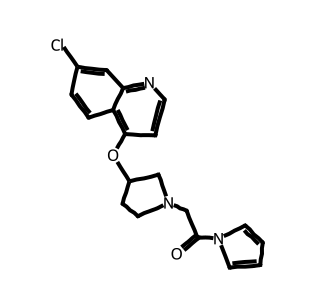 O=C(CN1CCC(Oc2ccnc3cc(Cl)ccc23)C1)n1cccc1